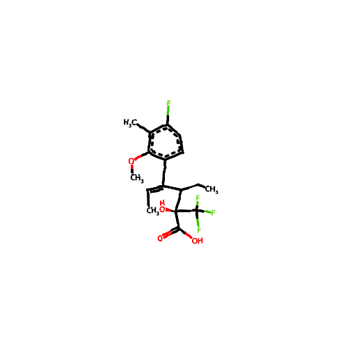 CC=C(c1ccc(F)c(C)c1OC)C(CC)[C@@](O)(C(=O)O)C(F)(F)F